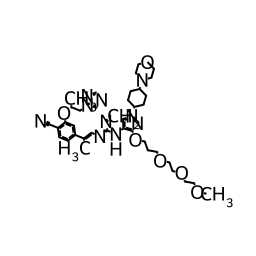 C=N/C(=N\C=C(/C)c1ccc(C#N)c(O[C@@H](C)Cn2cncn2)c1)Nc1cn([C@H]2CC[C@H](N3CCOCC3)CC2)nc1OCCCOCCOCCOC